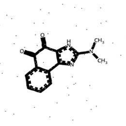 CN(C)c1nc2c([nH]1)C(=O)C(=O)c1ccccc1-2